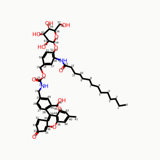 CCCCCCCCCCCCCC(=O)Nc1cc(COC(=O)NCc2ccc(-c3c4ccc(=O)cc-4oc4cc(C)ccc34)c(C(=O)O)c2)ccc1O[C@@H]1OC(CO)[C@H](O)[C@H](O)C1O